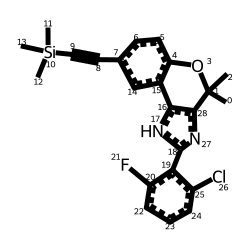 CC1(C)Oc2ccc(C#C[Si](C)(C)C)cc2-c2[nH]c(-c3c(F)cccc3Cl)nc21